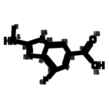 CNc1nc2c(F)cc(C(=O)O)cc2s1